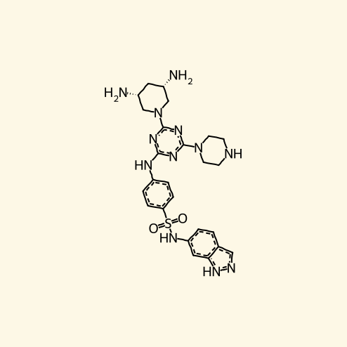 N[C@@H]1C[C@H](N)CN(c2nc(Nc3ccc(S(=O)(=O)Nc4ccc5cn[nH]c5c4)cc3)nc(N3CCNCC3)n2)C1